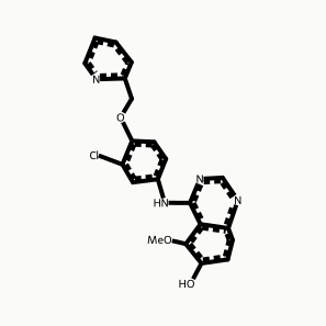 COc1c(O)ccc2ncnc(Nc3ccc(OCc4ccccn4)c(Cl)c3)c12